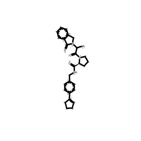 CC(C)C(C(=O)N1CCC[C@H]1C(=O)NCc1ccc(C2=CCCC2)cc1)N1Cc2ccccc2C1=O